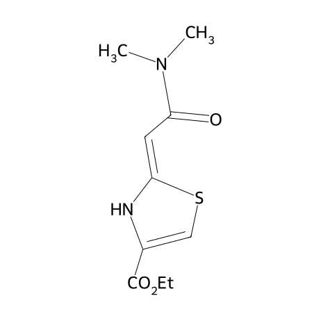 CCOC(=O)C1=CSC(=CC(=O)N(C)C)N1